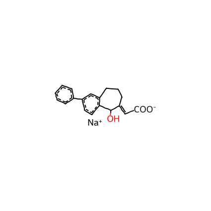 O=C([O-])/C=C1\CCCc2cc(-c3ccccc3)ccc2C1O.[Na+]